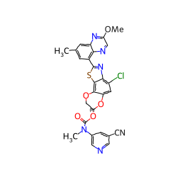 COc1cnc2c(-c3nc4c(Cl)cc5c(c4s3)OC[C@@H](OC(=O)N(C)c3cncc(C#N)c3)O5)cc(C)cc2n1